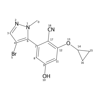 Cn1ncc(Br)c1-c1cc(O)cc(OC2CC2)c1C#N